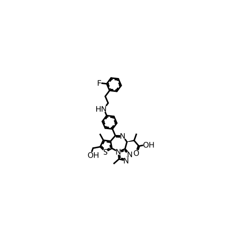 Cc1c(CO)sc2c1C(c1ccc(NCCc3ccccc3F)cc1)=N[C@@H](C(C)C(=O)O)c1nnc(C)n1-2